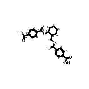 O=C(O)c1ccc(C(=O)OCC2CCCCC2OC(=O)c2ccc(C(=O)O)cc2)cc1